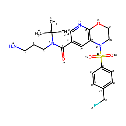 CC(C)(C)N(CCCN)C(=O)c1cnc2c(c1)N(S(=O)(=O)c1ccc(CF)cc1)CCO2